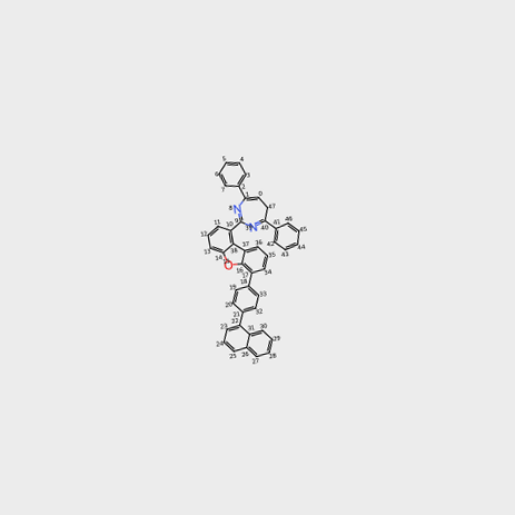 C1=C(c2ccccc2)N=C(c2cccc3oc4c(-c5ccc(-c6cccc7ccccc67)cc5)cccc4c23)N=C(c2ccccc2)C1